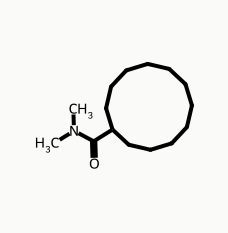 CN(C)C(=O)C1CCCCCCCCCCC1